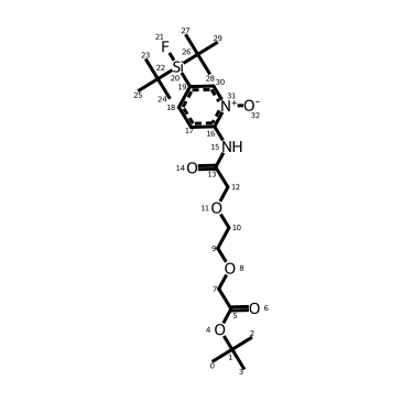 CC(C)(C)OC(=O)COCCOCC(=O)Nc1ccc([Si](F)(C(C)(C)C)C(C)(C)C)c[n+]1[O-]